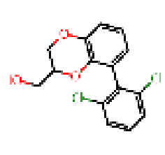 OCC1COc2cccc(-c3c(Cl)cccc3Cl)c2O1